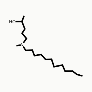 CCCCCCCCCCCCN(C)CCCC(C)O